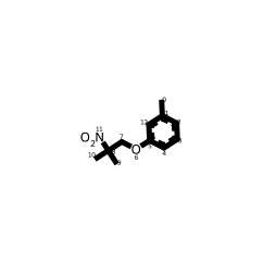 Cc1cccc(OCC(C)(C)[N+](=O)[O-])c1